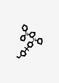 C=Cc1ccc(C(C)(C)c2ccc(N(c3ccccc3)c3cccc(N(c4ccccc4)c4ccccc4)c3)cc2)cc1